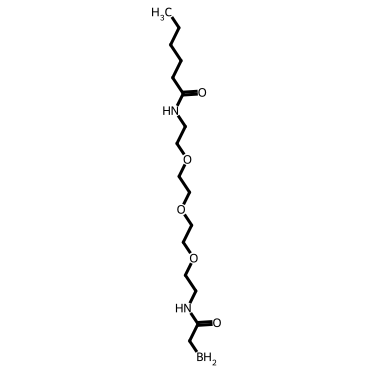 BCC(=O)NCCOCCOCCOCCNC(=O)CCCCC